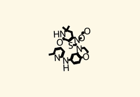 Cc1cccc(Nc2ccc3c(c2)N(C2SC4=C(CC(C)(C)NC4=O)N2OC=O)CCO3)n1